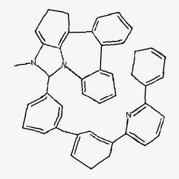 CN1C2=CCCC3=C2N(c2ccccc2-c2ccccc23)C1c1cccc(C2=CCCC(c3cccc(C4=CC=CCC4)n3)=C2)c1